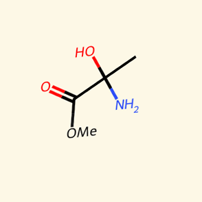 COC(=O)C(C)(N)O